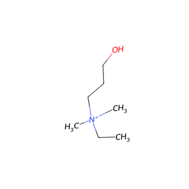 CC[N+](C)(C)CCCO